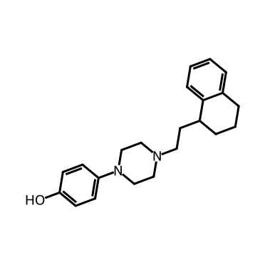 Oc1ccc(N2CCN(CCC3CCCc4ccccc43)CC2)cc1